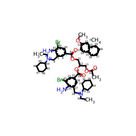 C.CCN(Cc1cc(C(=O)OCC(COC(C)=O)OC(=O)c2cc(Br)c(N)c(CN(CC)C3CCCCC3)c2)cc(Br)c1N)C1CCCCC1.COc1ccc2ccccc2c1